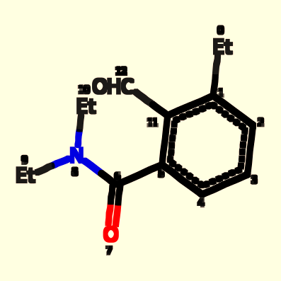 CCc1cccc(C(=O)N(CC)CC)c1C=O